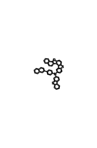 c1ccc2cc(-c3ccc(N(c4ccc5c(c4)sc4ccccc45)c4ccc5sc6ccc7oc8c9ccccc9ccc8c7c6c5c4)cc3)ccc2c1